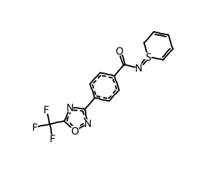 O=C(N=S1C=CC=CC1)c1ccc(-c2noc(C(F)(F)F)n2)cc1